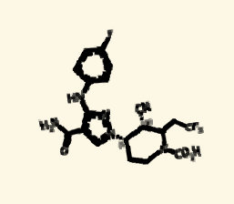 N#C[C@@H]1C(CC(F)(F)F)N(C(=O)O)CC[C@@H]1n1cc(C(N)=O)c(Nc2ccc(F)cc2)n1